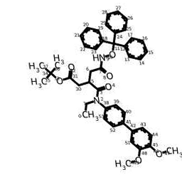 CCN(C(=O)C(CC(=O)NOC(c1ccccc1)(c1ccccc1)c1ccccc1)CC(=O)OC(C)(C)C)c1ccc(-c2ccc(OC)c(OC)c2)cc1